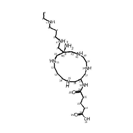 CCNCCCNC[C@@]1(N)CNCCCNCC(NC(=O)CCCC(=O)O)CNCCNC1